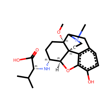 CO[C@@]12CC[C@@H](N[C@@H](C(=O)O)C(C)C)[C@@H]3Oc4c(O)ccc5c4[C@@]31CCN(C)C2C5